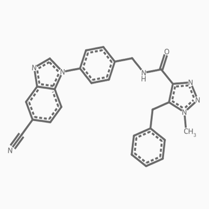 Cn1nnc(C(=O)NCc2ccc(-n3cnc4cc(C#N)ccc43)cc2)c1Cc1ccccc1